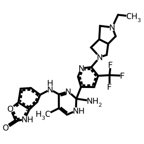 CCN1CC2CN(c3ncc(C4(N)N=C(Nc5ccc6oc(=O)[nH]c6c5)C(C)=CN4)cc3C(F)(F)F)CC2C1